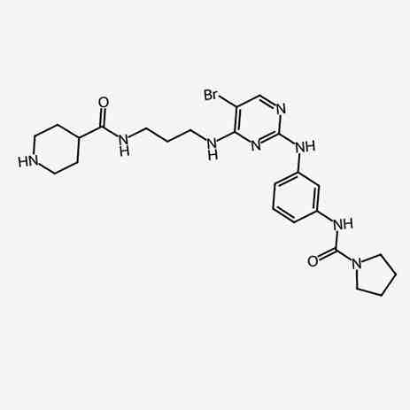 O=C(NCCCNc1nc(Nc2cccc(NC(=O)N3CCCC3)c2)ncc1Br)C1CCNCC1